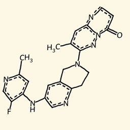 Cc1cc(Nc2cnc3c(c2)CN(c2nn4c(=O)ccnc4cc2C)CC3)c(F)cn1